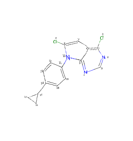 Clc1ncnc2c1cc(Cl)n2-c1ccc(C2CC2)cc1